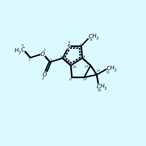 CCOC(=O)c1sc(C)c2c1CC1C2C1(C)C